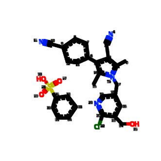 Cc1c(C#N)c(-c2ccc(C#N)cc2)c(C)n1Cc1cnc(Cl)c(CO)c1.O=S(=O)(O)c1ccccc1